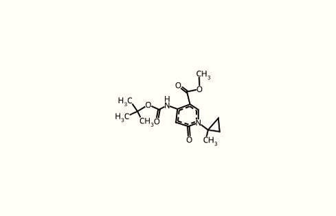 COC(=O)c1cn(C2(C)CC2)c(=O)cc1NC(=O)OC(C)(C)C